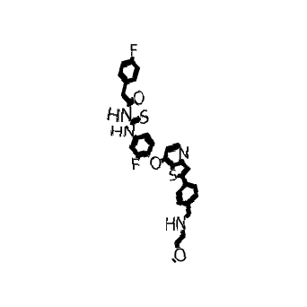 COCCNCc1ccc(-c2cc3nccc(Oc4ccc(NC(=S)NC(=O)Cc5ccc(F)cc5)cc4F)c3s2)cc1